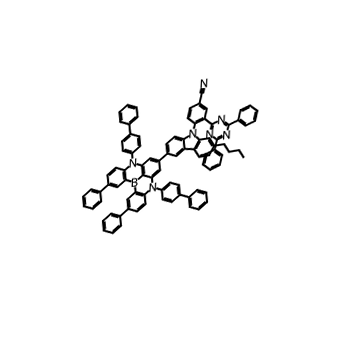 CCCCc1ccc2c3cc(-c4cc5c6c(c4)N(c4ccc(-c7ccccc7)cc4)c4ccc(-c7ccccc7)cc4B6c4cc(-c6ccccc6)ccc4N5c4ccc(-c5ccccc5)cc4)ccc3n(-c3ccc(C#N)cc3-c3nc(-c4ccccc4)nc(-c4ccccc4)n3)c2c1